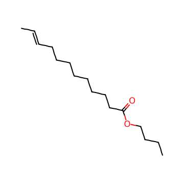 CC=CCCCCCCCCC(=O)OCCCC